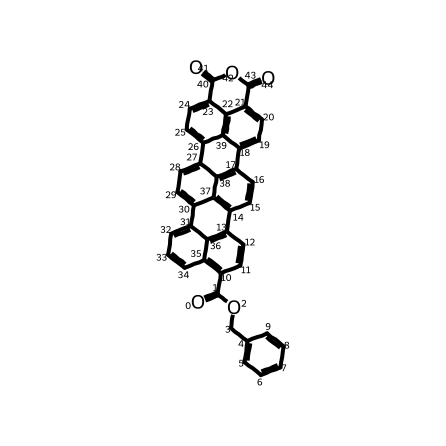 O=C(OCc1ccccc1)c1ccc2c3ccc4c5ccc6c7c(ccc(c8ccc(c9cccc1c92)c3c84)c75)C(=O)OC6=O